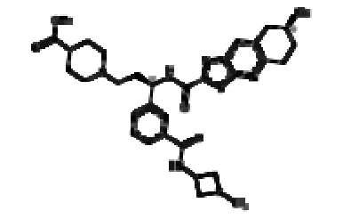 COC(=O)C1CCN(CC[C@@H](NC(=O)c2nc3cc4c(nc3s2)CC[C@H](C(C)(C)C)C4)c2cccc(C(=O)NC3CN(C)C3)c2)CC1